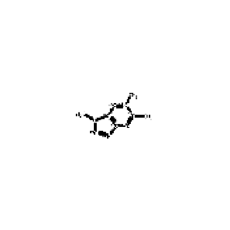 C[13c]1[13cH][13c]2n[13cH]n(C)[13c]2[13cH][13c]1C